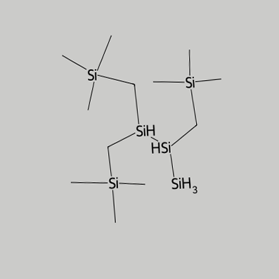 C[Si](C)(C)C[SiH]([SiH3])[SiH](C[Si](C)(C)C)C[Si](C)(C)C